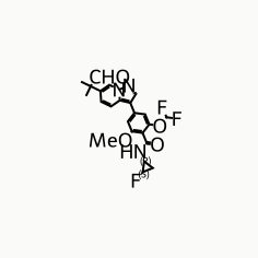 COc1cc(-c2cnn3cc(C(C)(C)C=O)ccc23)cc(OC(F)F)c1C(=O)N[C@@H]1C[C@@H]1F